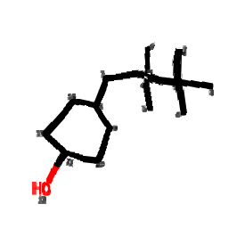 CC(C)(C)[Si](C)(C)CC1CCC(O)CC1